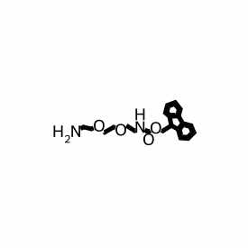 NCCOCCOCCNC(=O)OCC1c2ccccc2-c2ccccc21